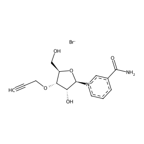 C#CCO[C@H]1[C@@H](O)[C@H]([n+]2cccc(C(N)=O)c2)O[C@@H]1CO.[Br-]